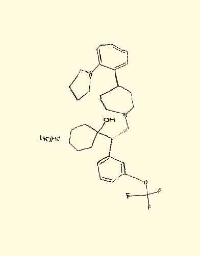 Cl.Cl.OC1([C@H](CN2CCC(c3ccccc3N3CCCC3)CC2)c2cccc(OC(F)(F)F)c2)CCCCC1